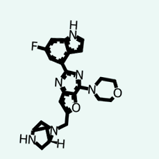 Fc1cc(-c2nc(N3CCOCC3)c3oc(CN4CC5C[C@H]4CN5)cc3n2)c2cc[nH]c2c1